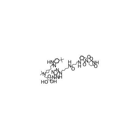 CC(C)N(C[C@H]1O[C@@H](n2cnc3c(NCCCCNC(=O)CCCNc4cccc5c4C(=O)N(C4CCC(=O)NC4=O)C5=O)ncnc32)C(O)C1O)C1CC(CCc2nc3cc(C(C)(C)C)ccc3[nH]2)C1